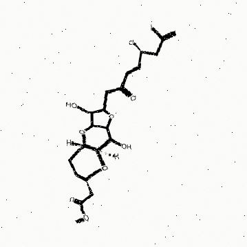 C=C(I)C[C@H](Cl)CCC(=O)CC1OC2C(O[C@H]3CC[C@H](CC(=O)OC)O[C@@H]3C2O)C1O